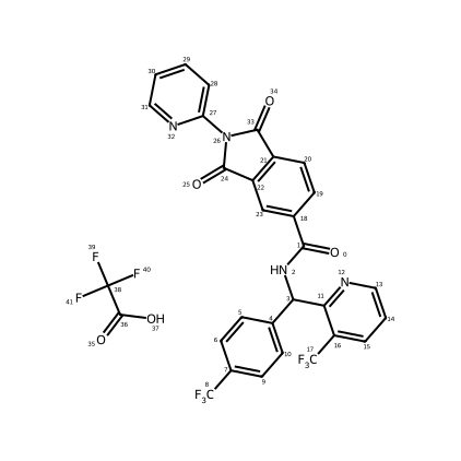 O=C(NC(c1ccc(C(F)(F)F)cc1)c1ncccc1C(F)(F)F)c1ccc2c(c1)C(=O)N(c1ccccn1)C2=O.O=C(O)C(F)(F)F